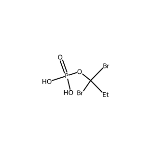 CCC(Br)(Br)OP(=O)(O)O